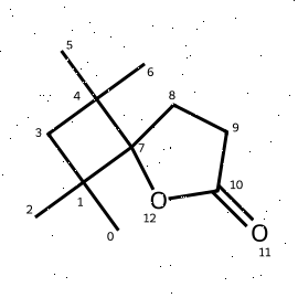 CC1(C)CC(C)(C)C12CCC(=O)O2